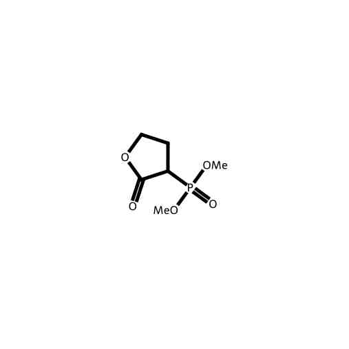 COP(=O)(OC)C1CCOC1=O